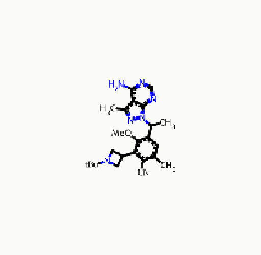 COc1c(C(C)n2nc(C)c3c(N)ncnc32)cc(C)c(C#N)c1C1CN(C(C)(C)C)C1